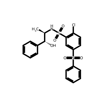 C[C@@H](NS(=O)(=O)c1cc(S(=O)(=O)c2ccccc2)ccc1Cl)[C@H](O)c1ccccc1